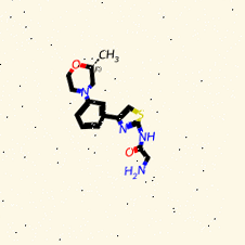 C[C@@H]1CN(c2cccc(-c3csc(NC(=O)CN)n3)c2)CCO1